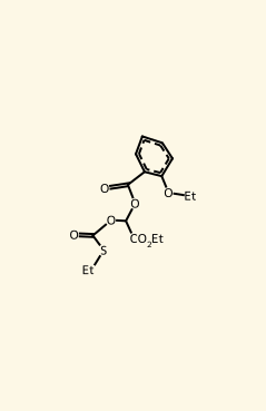 CCOC(=O)C(OC(=O)SCC)OC(=O)c1ccccc1OCC